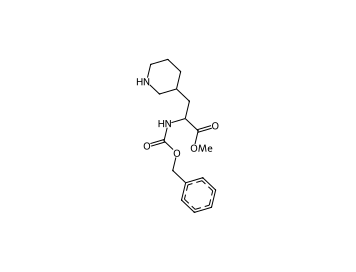 COC(=O)C(CC1CCCNC1)NC(=O)OCc1ccccc1